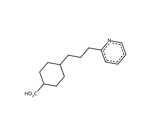 O=C(O)C1CCC(CCCc2ccccn2)CC1